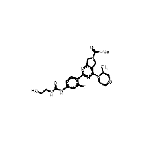 COC(=O)N1Cc2nc(-c3ccc(NC(=O)NCCO)cc3F)nc(N3CCOCC3C)c2C1